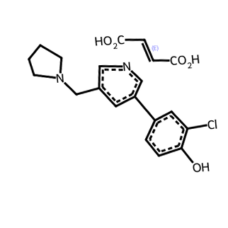 O=C(O)/C=C/C(=O)O.Oc1ccc(-c2cncc(CN3CCCC3)c2)cc1Cl